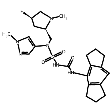 CN1C[C@H](F)C[C@@H]1CN(c1cnn(C)c1)S(=O)(=O)NC(=O)Nc1c2c(cc3c1CCC3)CCC2